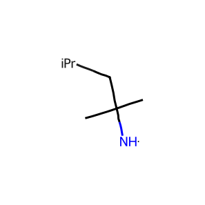 CC(C)CC(C)(C)[NH]